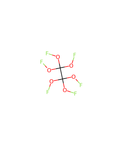 FOC(OF)(OF)C(OF)(OF)OF